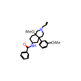 C=CCN1CCC2(c3cccc(OC)c3)CC(NC(=O)c3ccccc3)CCC2(OC)C1